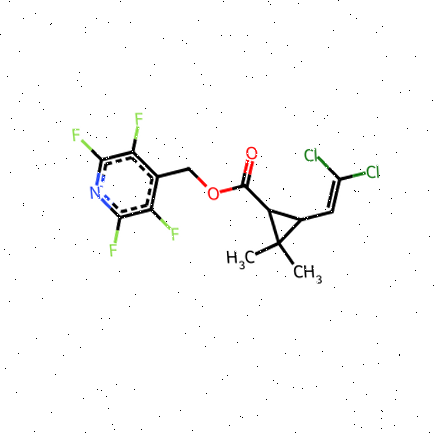 CC1(C)C(C=C(Cl)Cl)C1C(=O)OCc1c(F)c(F)nc(F)c1F